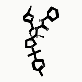 Cc1ccc(C(C)(C)N2CC[C@@](CCc3ccc(F)s3)([C@@H](C)NC(=O)Nc3ccccc3)C2)cn1